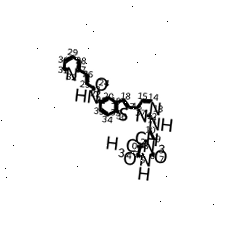 CC1(C)C(=O)NC(=O)N1CCNc1nccc(-c2cc3cc(NC(=O)C=Cc4ccccn4)ccc3s2)n1